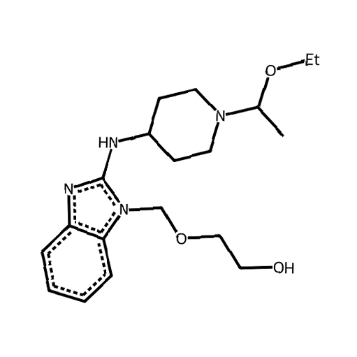 CCOC(C)N1CCC(Nc2nc3ccccc3n2COCCO)CC1